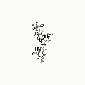 COC(=O)C(C[C@@H]1CC(C)(C)NC1=O)NC(=O)C(CC1CC1)NC(=O)c1cc2cc(OC)cc(Cl)c2[nH]1